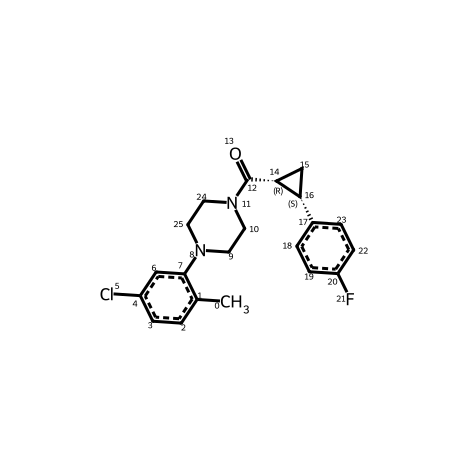 Cc1ccc(Cl)cc1N1CCN(C(=O)[C@@H]2C[C@@H]2c2ccc(F)cc2)CC1